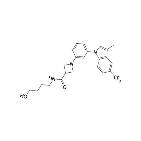 Cc1cn(-c2cccc(N3CC(C(=O)NCCCCO)C3)c2)c2ccc(C(F)(F)F)cc12